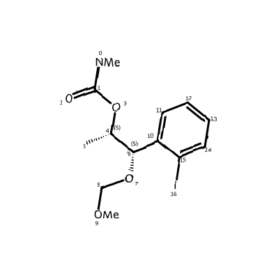 CNC(=O)O[C@@H](C)[C@@H](OCOC)c1ccccc1I